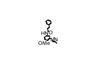 COc1ccc(NC(=O)/C=C/c2ccccc2)cc1-n1cnc(C)c1